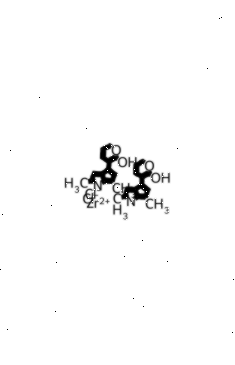 CC1=NC2=C(C)C=C(C3=C(O)OCC=C3)C2=C1.CC1=NC2=C(C)C=C(C3=C(O)OCC=C3)C2=C1.[Cl-].[Cl-].[Zr+2]